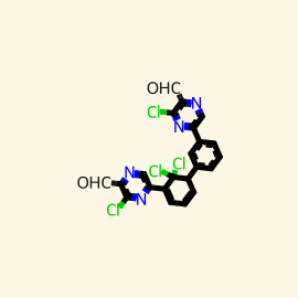 O=Cc1ncc(C2=CC=CC(c3cccc(-c4cnc(C=O)c(Cl)n4)c3)C2(Cl)Cl)nc1Cl